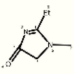 CCC1=NC(=O)CN1C